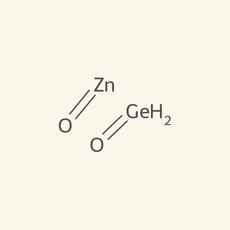 [O]=[GeH2].[O]=[Zn]